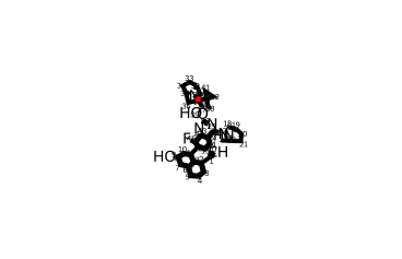 C#Cc1cccc2cc(O)cc(-c3ccc4c(N5CC6CCC(C5)N6)nc(OCC5(CN6C7CCC6CC(CO)C7)CC5)nc4c3F)c12